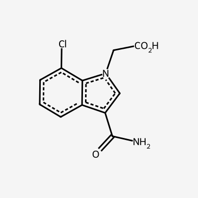 NC(=O)c1cn(CC(=O)O)c2c(Cl)cccc12